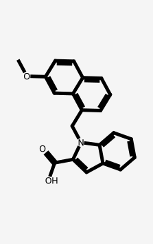 COc1ccc2cccc(Cn3c(C(=O)O)cc4ccccc43)c2c1